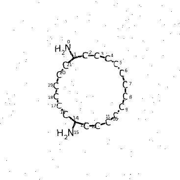 NC1CCCCCCCCCCCCC(N)CCCCCC1